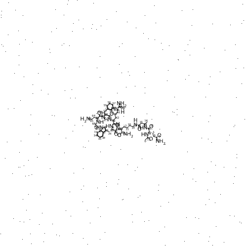 CC(=O)N[C@@H](CCC(N)=O)C(=O)N[C@H](C)CC(=O)NCCCC[C@H](NC(=O)[C@H](Cc1c[nH]c2ccccc12)NC(=O)[C@H](CCCNC(=N)N)NC(=O)[C@@H](Cc1ccccc1)NC(=O)[C@H](CCN)NC=O)C(N)=O